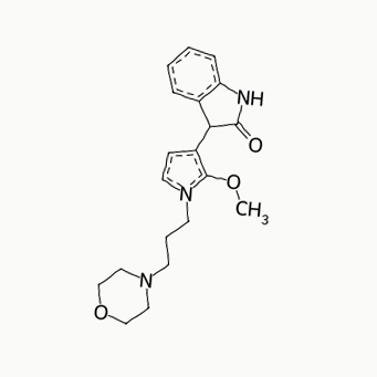 COc1c(C2C(=O)Nc3ccccc32)ccn1CCCN1CCOCC1